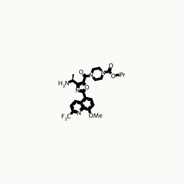 COc1ccc(-c2nc([C@H](C)N)c(C(=O)N3CCN(C(=O)OC(C)C)CC3)o2)c2ccc(C(F)(F)F)nc12